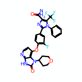 NC(=O)c1nc(-c2ccc(Oc3ccnc4[nH]c(=O)n(C5CCOCC5)c34)c(F)c2)n(-c2ccccc2)c1C(F)(F)F